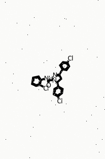 O=C(Nc1ccccc1Cl)N1N=C(c2ccc(Cl)cc2)CC1c1ccc(Cl)cc1